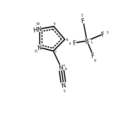 F[B-](F)(F)F.N#[N+]c1cc[nH]n1